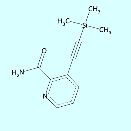 C[Si](C)(C)C#Cc1cccnc1C(N)=O